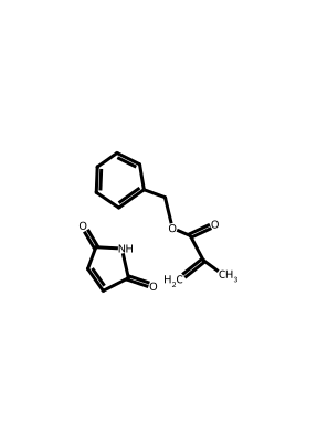 C=C(C)C(=O)OCc1ccccc1.O=C1C=CC(=O)N1